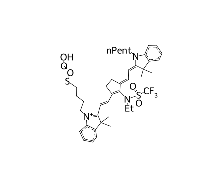 CCCCCN1/C(=C/C=C2\CCC(/C=C/C3=[N+](CCCCSOOO)c4ccccc4C3(C)C)=C2N(CC)S(=O)(=O)C(F)(F)F)C(C)(C)c2ccccc21